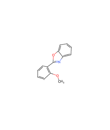 COc1[c]cccc1-c1nc2ccccc2o1